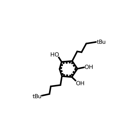 CC(C)(C)CCCc1cc(O)c(CCCC(C)(C)C)c(O)c1O